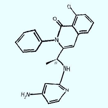 C[C@H](Nc1cc(N)ccn1)c1cc2cccc(Cl)c2c(=O)n1-c1ccccc1